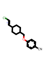 N#Cc1ccc(OCC2CCC(/C=C/Cl)CC2)cc1